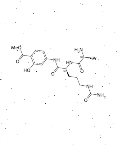 COC(=O)c1ccc(NC(=O)[C@H](CCCNC(N)=O)NC(=O)[C@@H](N)C(C)C)cc1O